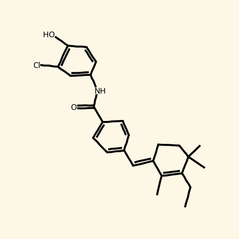 CCC1=C(C)/C(=C/c2ccc(C(=O)Nc3ccc(O)c(Cl)c3)cc2)CCC1(C)C